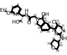 CCOc1cccc([C@@H](CO)NC(=O)CN2Cc3ccc(-c4nc(NC5CCOCC5)ncc4Cl)cc3C2O)n1